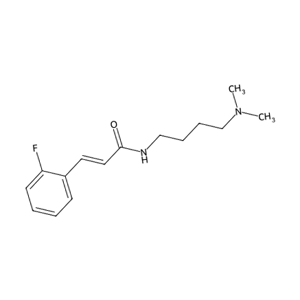 CN(C)CCCCNC(=O)/C=C/c1ccccc1F